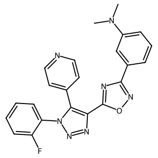 CN(C)c1cccc(-c2noc(-c3nnn(-c4ccccc4F)c3-c3ccncc3)n2)c1